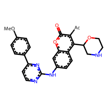 COc1ccc(-c2ccnc(Nc3ccc4c(C5CNCCO5)c(C(C)=O)c(=O)oc4c3)n2)cc1